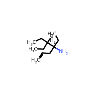 C=CCC(N)(CC)C(C)(CC)CC